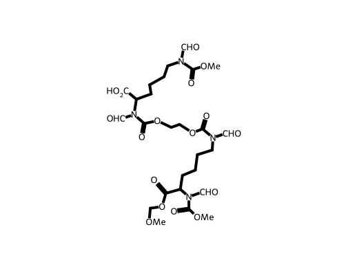 COCOC(=O)C(CCCCN(C=O)C(=O)OCCOC(=O)N(C=O)C(CCCCN(C=O)C(=O)OC)C(=O)O)N(C=O)C(=O)OC